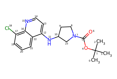 CC(C)(C)OC(=O)N1CCC(Nc2ccnc3c(Cl)cccc23)C1